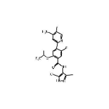 Cc1cnc(-c2cc(OC(C)C(F)(F)F)c(C(=O)Nc3c(C)n[nH]c3Cl)cc2F)cc1N